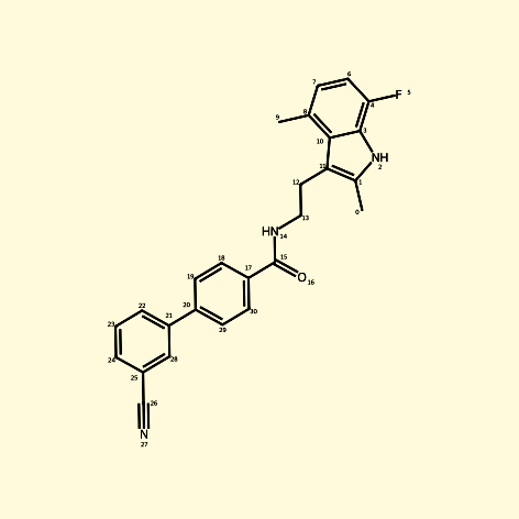 Cc1[nH]c2c(F)ccc(C)c2c1CCNC(=O)c1ccc(-c2cccc(C#N)c2)cc1